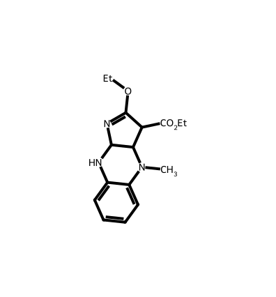 CCOC(=O)C1C(OCC)=NC2Nc3ccccc3N(C)C21